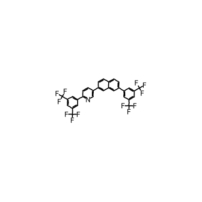 FC(F)(F)c1cc(-c2ccc3ccc(-c4ccc(-c5cc(C(F)(F)F)cc(C(F)(F)F)c5)nc4)cc3c2)cc(C(F)(F)F)c1